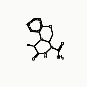 C[C@@H]1C(=O)NN(C(N)=O)C2COc3cc[c]cc3N21